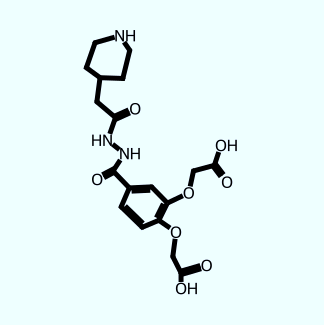 O=C(O)COc1ccc(C(=O)NNC(=O)CC2CCNCC2)cc1OCC(=O)O